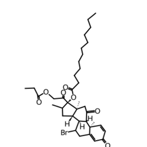 CCCCCCCCCCCC(=O)O[C@]1(C(=O)COC(=O)CC)C(C)C[C@H]2[C@@H]3C(Br)CC4=CC(=O)C=C[C@]4(C)[C@H]3C(=O)C[C@@]21C